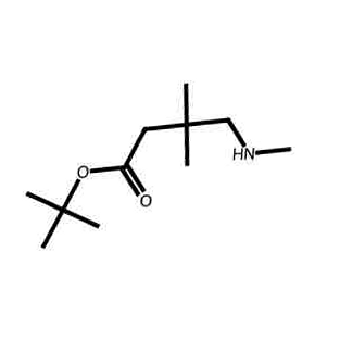 CNCC(C)(C)CC(=O)OC(C)(C)C